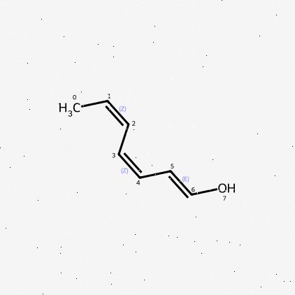 C\C=C/C=C\C=C\O